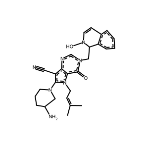 CC(C)=CCn1c(N2CCCC(N)C2)c(C#N)c2ncn(CC3c4ccccc4C=CN3O)c(=O)c21